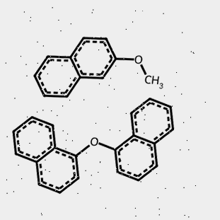 COc1ccc2ccccc2c1.c1ccc2c(Oc3cccc4ccccc34)cccc2c1